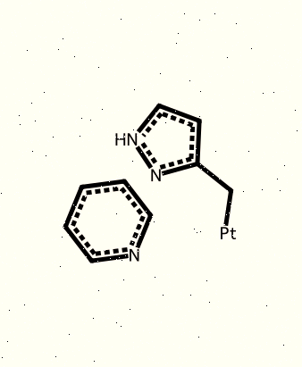 [Pt][CH2]c1cc[nH]n1.c1ccncc1